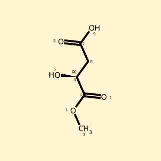 COC(=O)[C@@H](O)CC(=O)O